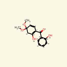 COC1(OC)C=CC(C(=O)c2ccccc2O)=C(O)C1